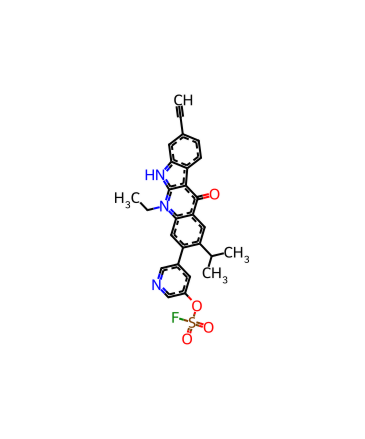 C#Cc1ccc2c(c1)[nH]c1c2c(=O)c2cc(C(C)C)c(-c3cncc(OS(=O)(=O)F)c3)cc2n1CC